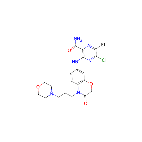 CCc1nc(C(N)=O)c(Nc2ccc3c(c2)OCC(=O)N3CCCN2CCOCC2)nc1Cl